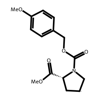 COC(=O)[C@H]1C[CH]CN1C(=O)OCc1ccc(OC)cc1